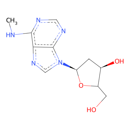 CNc1ncnc2c1ncn2[C@H]1C[C@@H](O)C(CO)O1